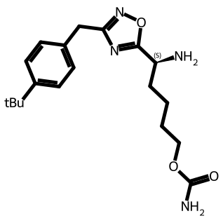 CC(C)(C)c1ccc(Cc2noc([C@@H](N)CCCCOC(N)=O)n2)cc1